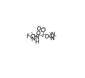 COc1cccc([C@]2(COc3cnc(C)nc3C)C[C@H]2C(=O)Nc2cc(C)c(F)cn2)c1